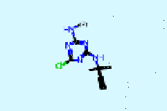 C#CC(C)(C)Nc1nc(Cl)nc(NC(C)C)n1